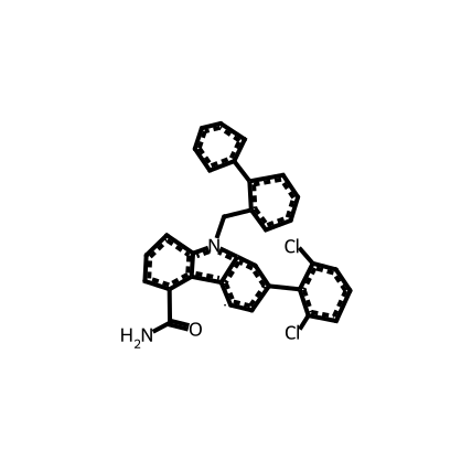 NC(=O)c1cccc2c1c1[c]cc(-c3c(Cl)cccc3Cl)cc1n2Cc1ccccc1-c1ccccc1